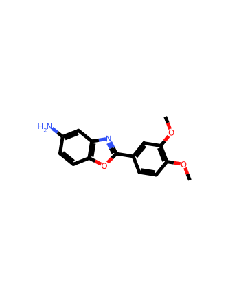 COc1ccc(-c2nc3cc(N)ccc3o2)cc1OC